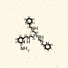 N.c1ccc(CNC[CH2][Fe]([CH2]CNCc2ccccn2)[CH2]CNCc2ccccn2)nc1